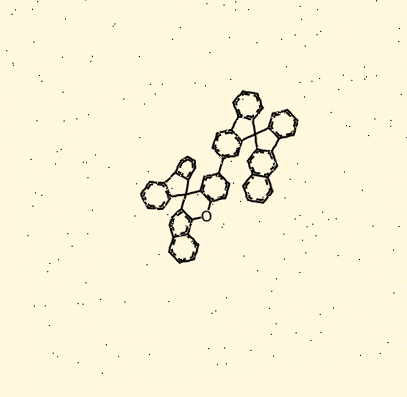 c1ccc2c(c1)-c1ccc(-c3ccc4c(c3)C3(c5ccccc5-c5ccccc53)c3ccc5ccccc5c3O4)cc1C21c2ccccc2-c2cc3ccccc3cc21